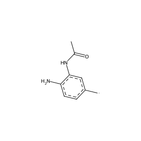 [CH2]c1ccc(N)c(NC(C)=O)c1